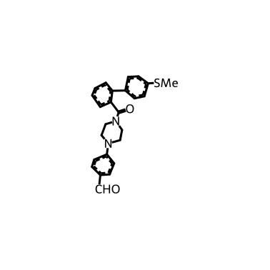 CSc1ccc(-c2ccccc2C(=O)N2CCN(c3ccc(C=O)cc3)CC2)cc1